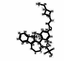 CC(C)(F)C(=O)N1CCCc2c([nH]c3ccccc23)C1c1c(F)cc(OCCN2CC(CF)C2)cc1F